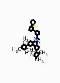 Cc1cc(C)c(-c2ccc3c(c2)c2cc(-c4c(C)cc(C)cc4C)ccc2c2nc(-c4cccc(-c5cccc6c7c(sc56)CCC=C7)c4)cnc32)c(C)c1